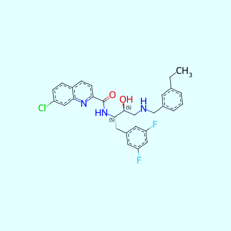 CCc1cccc(CNC[C@H](O)[C@H](Cc2cc(F)cc(F)c2)NC(=O)c2ccc3ccc(Cl)cc3n2)c1